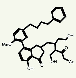 COc1ccc(CCCCc2ccccc2)cc1-c1ccc(O)c2c1CC(CC(CCO)C(CO)C(=O)CC(C)=O)CC2=O